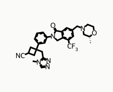 C[C@@H]1CN(Cc2cc3c(c(C(F)(F)F)c2)CN(c2cccc(C4(Cc5nncn5C)CC(C#N)C4)c2)C3=O)CCO1